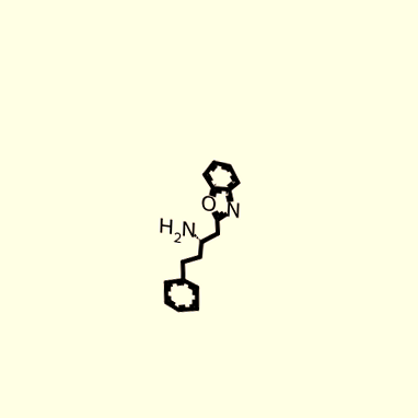 N[C@@H](CCc1ccccc1)Cc1nc2ccccc2o1